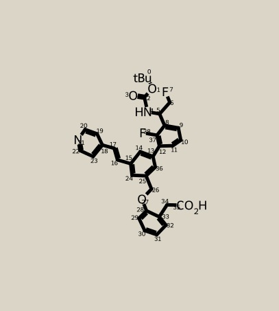 CC(C)(C)OC(=O)NC(CF)c1cccc(-c2cc(C=Cc3ccncc3)cc(COc3ccccc3CC(=O)O)c2)c1F